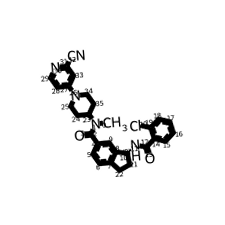 CN(C(=O)c1ccc2c(c1)[C@H](NC(=O)c1ccccc1Cl)CC2)C1CCN(c2ccnc(C#N)c2)CC1